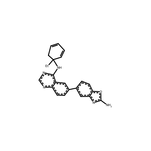 CCC1(Nc2ncnc3ccc(-c4ccc5oc(N)nc5c4)cc23)C=CC=CC1